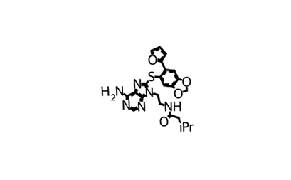 CC(C)CC(=O)NCCn1c(Sc2cc3c(cc2-c2ccco2)OCO3)nc2c(N)ncnc21